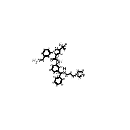 NCc1cccc(-n2nc(C(F)(F)F)cc2C(=O)Nc2cccc(C(NCCCn3ccnc3)c3ccccc3)c2)c1